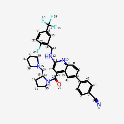 N#Cc1ccc(-c2ccc3nc(NCc4cc(C(F)(F)F)ccc4F)cc(C(=O)N4CCC[C@H]4CN4CCCC4)c3c2)cc1